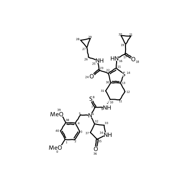 COc1ccc(CN(C(=S)N[C@H]2CCc3sc(NC(=O)C4CC4)c(C(=O)NCC4CC4)c3C2)C2CNC(=O)C2)c(OC)c1